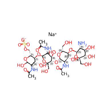 CC(=O)N[C@H]1[C@H](O[C@H]2[C@H](O)[C@@H](NC(C)=O)[C@H](O[C@H]3[C@H](O)[C@@H](NC(C)=O)C(O)O[C@@H]3COS(=O)(=O)[O-])O[C@@H]2CO)O[C@H](CO)[C@@H](O[C@@H]2O[C@H](CO)[C@@H](O)[C@H](O)[C@H]2N)[C@@H]1O.[Na+]